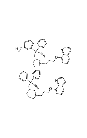 N#CC(CC1CCCN(CCCOc2cccc3cccnc23)C1)(c1ccccc1)c1ccccc1.N#CC(CC1CCCN(CCCOc2cccc3cccnc23)C1)(c1ccccc1)c1ccccc1.O